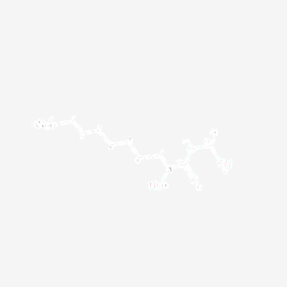 CCCCCCCCCCCCCCCCC(O)C(=O)OC(C)O